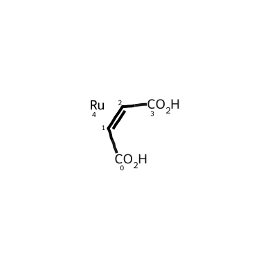 O=C(O)/C=C\C(=O)O.[Ru]